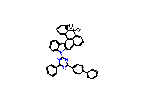 CC1(C)c2ccccc2-c2c3c1cccc3cc1c2c2ccccc2n1C1=NC(c2ccccc2)=NC(c2ccc(-c3ccccc3)cc2)N1